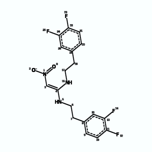 O=[N+]([O-])C=C(NCCc1ccc(F)c(F)c1)NCCc1ccc(F)c(F)c1